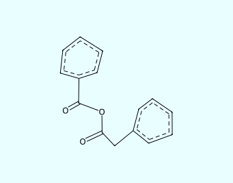 O=C(Cc1ccccc1)OC(=O)c1ccccc1